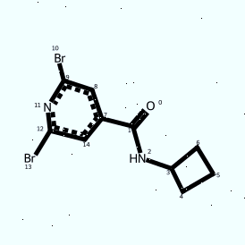 O=C(NC1CCC1)c1cc(Br)nc(Br)c1